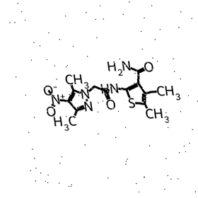 Cc1nn(CC(=O)Nc2sc(C)c(C)c2C(N)=O)c(C)c1[N+](=O)[O-]